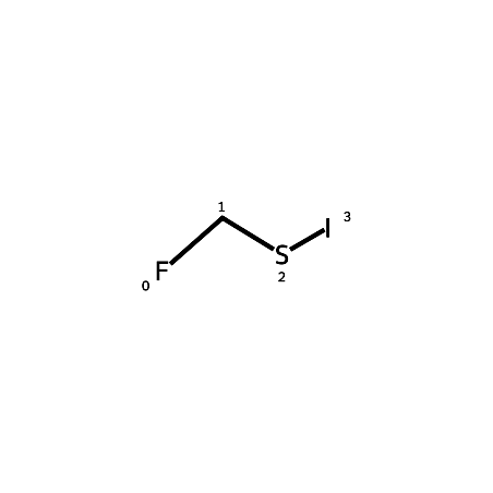 FCSI